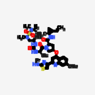 C=CC1C[C@]1(NC(=O)[C@@H]1C[C@@H](Oc2cc(-c3csc(NC(C)C)n3)nc3cc(OC)ccc23)CN1C(=O)[C@@H](NC(=O)NC(CN(C)S(=O)(=O)N(C)C)C(C)(C)C)C(C)(C)C)C(=O)O